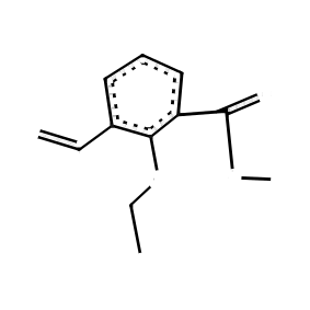 C=[C]c1cccc(C(=O)OC)c1OCC